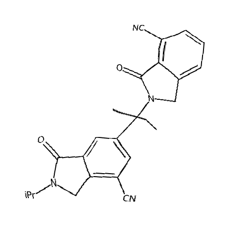 CC(C)N1Cc2c(C#N)cc(C(C)(C)N3Cc4cccc(C#N)c4C3=O)cc2C1=O